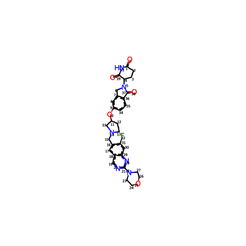 O=C1CCC(N2Cc3cc(OC4CCN(Cc5cc6cnc(N7CCOCC7)nc6cc5F)C4)ccc3C2=O)C(=O)N1